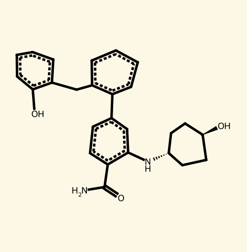 NC(=O)c1ccc(-c2ccccc2Cc2ccccc2O)cc1N[C@H]1CC[C@H](O)CC1